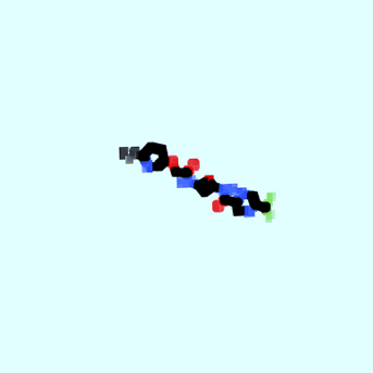 O=C(COc1ccc(C(F)(F)F)nc1)NC12CC(NC(=O)c3cnc(C(F)F)cn3)(C1)C2